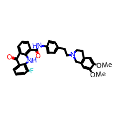 COc1cc2c(cc1OC)CN(CCc1ccc(NC(=O)c3cccc4c(=O)c5cccc(F)c5[nH]c34)cc1)CC2